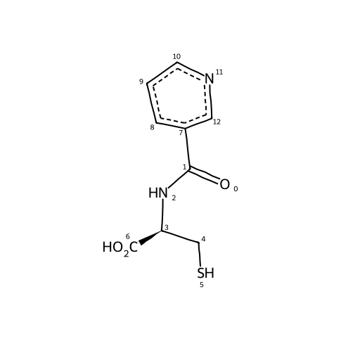 O=C(N[C@@H](CS)C(=O)O)c1cccnc1